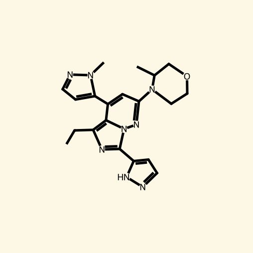 CCc1nc(-c2ccn[nH]2)n2nc(N3CCOCC3C)cc(-c3ccnn3C)c12